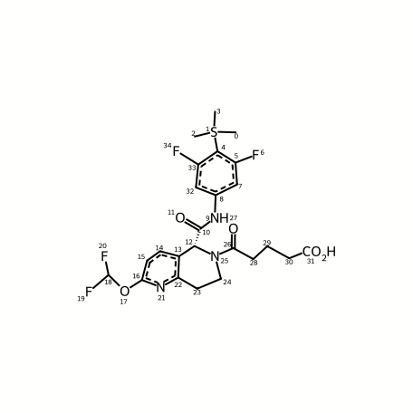 CS(C)(C)c1c(F)cc(NC(=O)[C@H]2c3ccc(OC(F)F)nc3CCN2C(=O)CCCC(=O)O)cc1F